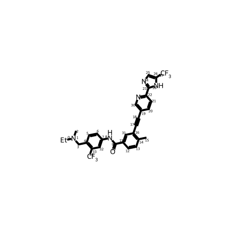 CCN(C)Cc1ccc(NC(=O)c2ccc(C)c(C#Cc3ccc(-c4ncc(C(F)(F)F)[nH]4)nc3)c2)cc1C(F)(F)F